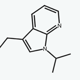 CCc1cn(C(C)C)c2ncccc12